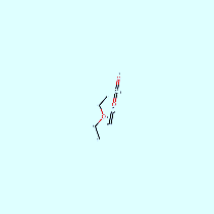 C=C.CCOCC.O=C=O